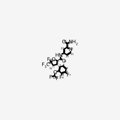 C[C@H]1[C@@H](c2ccc(F)c(F)c2OC(F)F)[C@H](C(=O)Nc2ccnc(C(N)=O)c2)O[C@]1(F)C(F)(F)F